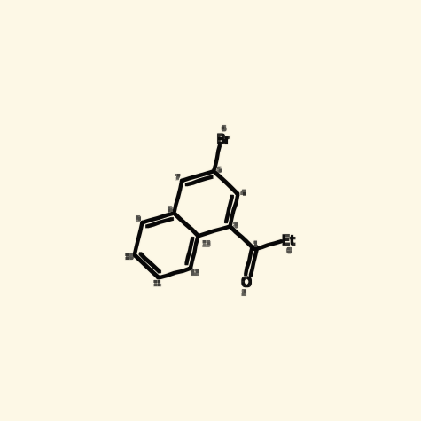 CCC(=O)c1cc(Br)cc2ccccc12